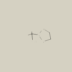 CC(C)(C)N1[SiH2]CC[SiH2]1